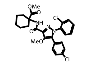 COC(=O)C1(NC(=O)c2nn(-c3ccccc3Cl)c(-c3ccc(Cl)cc3)c2OC)CCCCC1